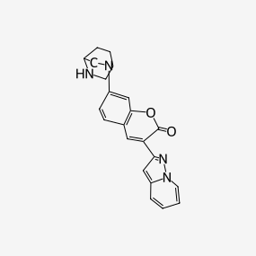 O=c1oc2cc(N3CC4CCC3CN4)ccc2cc1-c1cc2ccccn2n1